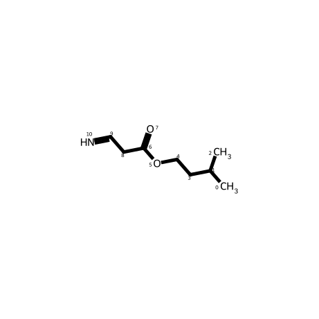 CC(C)CCOC(=O)CC=N